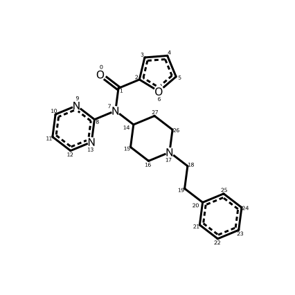 O=C(c1ccco1)N(c1ncccn1)C1CCN(CCc2ccccc2)CC1